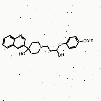 COc1ccc(OC(O)CCN2CCC(O)(c3cnc4ccccc4c3)CC2)cc1